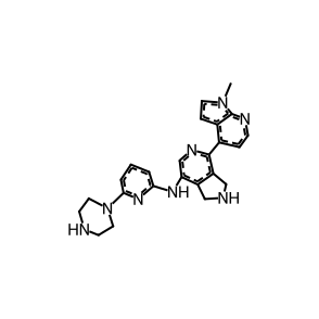 Cn1ccc2c(-c3ncc(Nc4cccc(N5CCNCC5)n4)c4c3CNC4)ccnc21